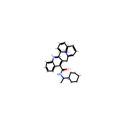 CC(NC(=O)c1c(Cc2ccccn2)c(-c2ccccc2)nc2ccccc12)C1CCCCC1